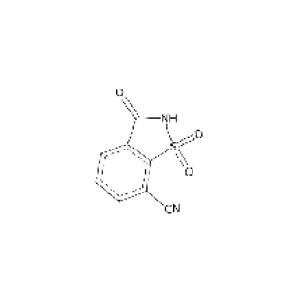 N#Cc1cccc2c1S(=O)(=O)NC2=O